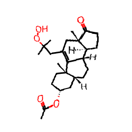 CC(=O)O[C@@H]1CC[C@]2(C)C3=C(CC(C)(C)OO)C[C@]4(C)C(=O)CC[C@H]4[C@@H]3CC[C@@H]2C1